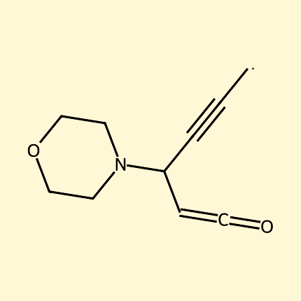 [CH2]C#CC(C=C=O)N1CCOCC1